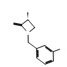 N#Cc1cccc(CN2C[C@H](N)C2=O)c1